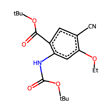 CCOc1cc(NC(=O)OC(C)(C)C)c(C(=O)OC(C)(C)C)cc1C#N